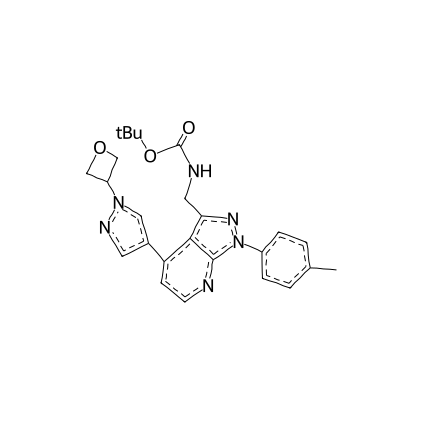 Cc1ccc(-n2nc(CNC(=O)OC(C)(C)C)c3c(-c4cnn(C5COC5)c4)ccnc32)cc1